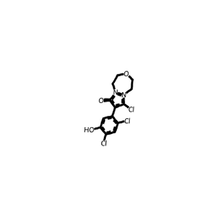 O=c1c(-c2cc(O)c(Cl)cc2Cl)c(Cl)n2n1CCOCC2